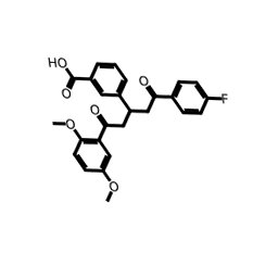 COc1ccc(OC)c(C(=O)CC(CC(=O)c2ccc(F)cc2)c2cccc(C(=O)O)c2)c1